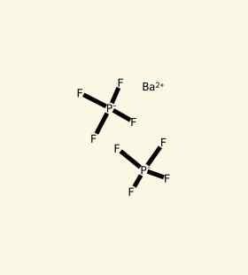 F[P-](F)(F)F.F[P-](F)(F)F.[Ba+2]